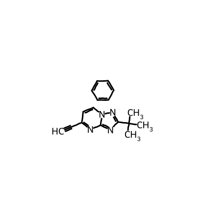 C#Cc1ccn2nc(C(C)(C)C)nc2n1.c1ccccc1